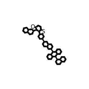 c1ccc2c(-c3c4ccccc4c(-c4ccc5cc(-c6ccc7c(c6)sc6ccc8oc9c%10ccccc%10ccc9c8c67)ccc5c4)c4ccccc34)cccc2c1